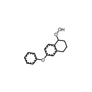 OOC1CCCc2cc(Oc3ccccc3)ccc21